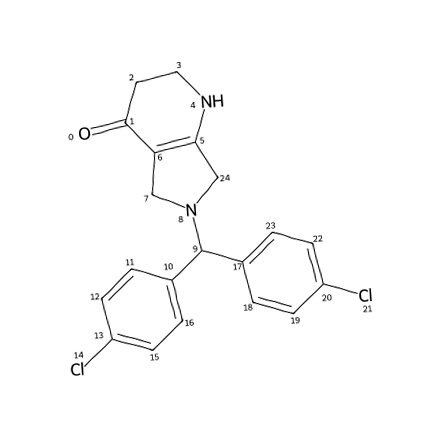 O=C1CCNC2=C1CN(C(c1ccc(Cl)cc1)c1ccc(Cl)cc1)C2